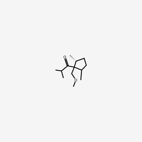 COCC1(C(=O)C(C)C)C(C)CC[C@H]1C